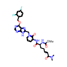 COC(=O)NC(CC/C=C/C(=O)N(C)C)C(=O)Nc1cccn(Cc2nc3c(OCc4ccc(F)cc4F)ncnc3[nH]2)c1=O